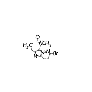 CCc1nc2ccc(Br)nn2c1N(C)C=O